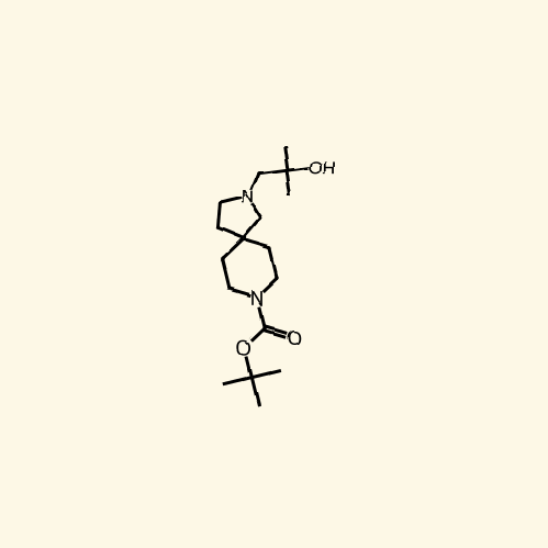 CC(C)(O)CN1CCC2(CCN(C(=O)OC(C)(C)C)CC2)C1